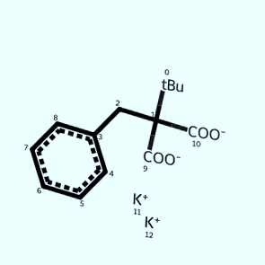 CC(C)(C)C(Cc1ccccc1)(C(=O)[O-])C(=O)[O-].[K+].[K+]